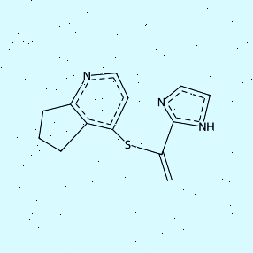 C=C(Sc1ccnc2c1CCC2)c1ncc[nH]1